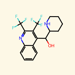 OC(c1c(C(F)(F)F)c(C(F)(F)F)nc2ccccc12)C1CCCCN1